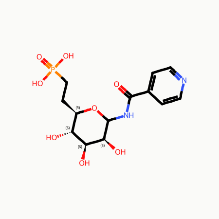 O=C(NC1O[C@H](CCP(=O)(O)O)[C@@H](O)[C@H](O)[C@@H]1O)c1ccncc1